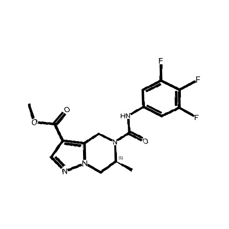 COC(=O)c1cnn2c1CN(C(=O)Nc1cc(F)c(F)c(F)c1)[C@@H](C)C2